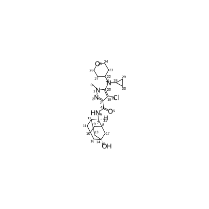 Cn1nc(C(=O)N[C@H]2C3CC4CC2C[C@](O)(C4)C3)c(Cl)c1N(C1CCOCC1)C1CC1